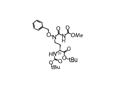 COC(=O)NC(=O)N(CC[C@H](NC(=O)OC(C)(C)C)C(=O)OC(C)(C)C)OCc1ccccc1